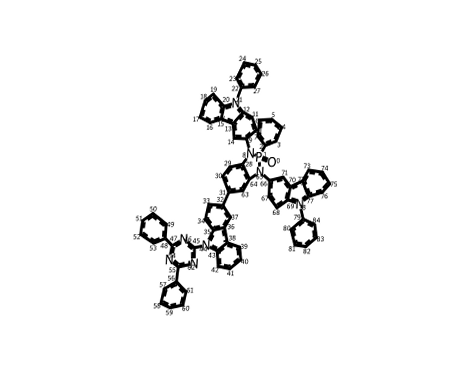 O=P1(c2ccccc2)N(c2ccc3c(c2)c2ccccc2n3-c2ccccc2)c2ccc(-c3ccc4c(c3)c3ccccc3n4-c3nc(-c4ccccc4)nc(-c4ccccc4)n3)cc2N1c1ccc2c(c1)c1ccccc1n2-c1ccccc1